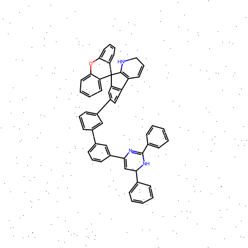 C1=CC2=C(NC1)C1(c3ccccc3Oc3ccccc31)c1cc(-c3cccc(-c4cccc(C5=CC(c6ccccc6)NC(c6ccccc6)=N5)c4)c3)ccc12